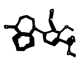 COC(=O)C1=CC=C(N2CCCC(=O)c3ccccc32)C(=C=O)C1OC